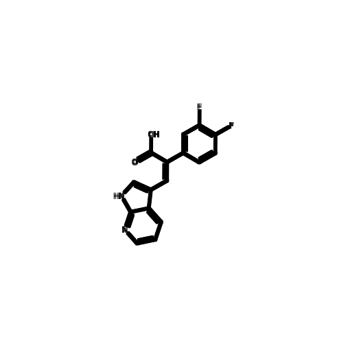 O=C(O)C(=Cc1c[nH]c2ncccc12)c1ccc(F)c(F)c1